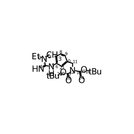 CCN(C)C(=N)Nc1cccc(CN(C(=O)OC(C)(C)C)C(=O)OC(C)(C)C)c1